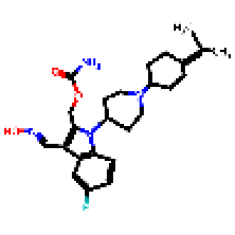 CC(C)=C1CCC(N2CCC(n3c(COC(N)=O)c(C=NO)c4cc(F)ccc43)CC2)CC1